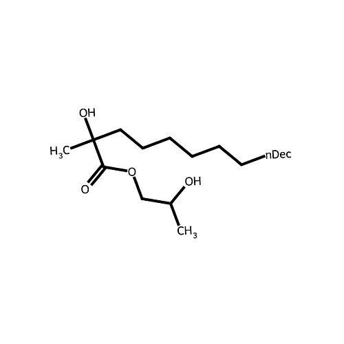 CCCCCCCCCCCCCCCCC(C)(O)C(=O)OCC(C)O